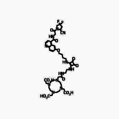 N#C[C@@H]1CC(F)(F)CN1C(=O)CNC(=O)c1ccnc2ccc(OCCCCNc3c(NCCNC(=O)CN4CCN(CC(=O)O)CCN(CC(=O)O)CCN(CC(=O)O)CC4)c(=O)c3=O)cc12